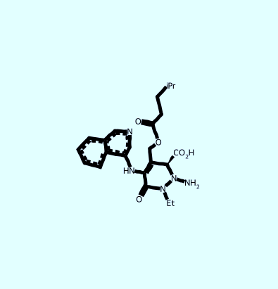 CCN1C(=O)C(Nc2cncc3ccccc23)=C(COC(=O)CCC(C)C)[C@@H](C(=O)O)N1N